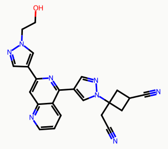 N#CCC1(n2cc(-c3nc(-c4cnn(CCO)c4)cc4ncccc34)cn2)CC(C#N)C1